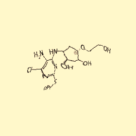 CCCSc1nc(Cl)c(N)c(NC2C[C@H](OCCO)C(O)C2O)n1